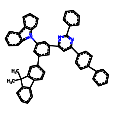 CC1(C)c2ccccc2-c2ccc(-c3cc(-c4cc(-c5ccc(-c6ccccc6)cc5)nc(-c5ccccc5)n4)cc(-n4c5ccccc5c5ccccc54)c3)cc21